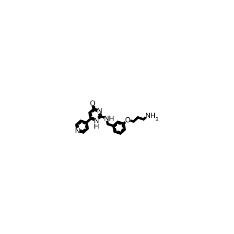 NCCCOc1cccc(CNc2nc(=O)cc(-c3ccncc3)[nH]2)c1